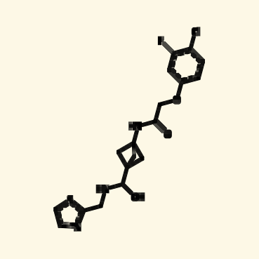 O=C(COc1ccc(Cl)c(F)c1)NC12CC(C(O)NCc3nccs3)(C1)C2